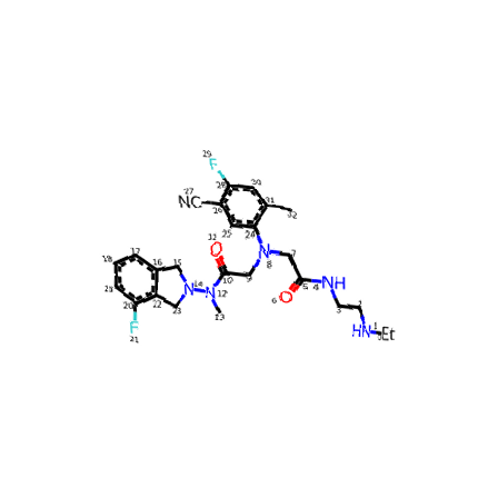 CCNCCNC(=O)CN(CC(=O)N(C)N1Cc2cccc(F)c2C1)c1cc(C#N)c(F)cc1C